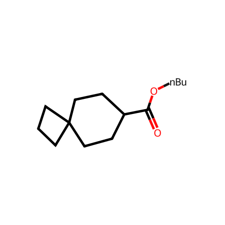 CCCCOC(=O)C1CCC2(CCC2)CC1